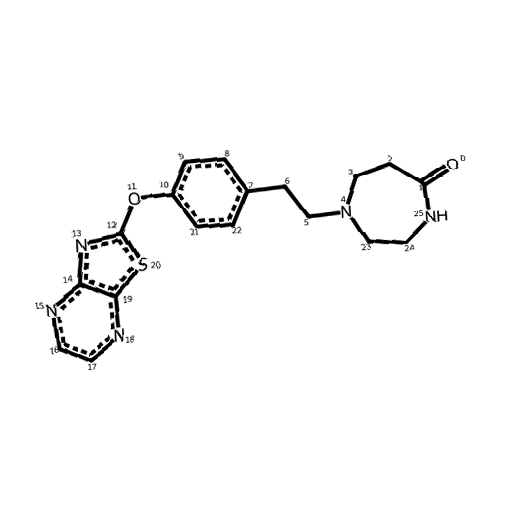 O=C1CCN(CCc2ccc(Oc3nc4nccnc4s3)cc2)CCN1